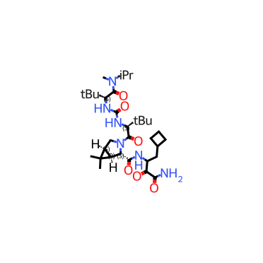 CC(C)N(C)C(=O)[C@@H](NC(=O)N[C@H](C(=O)N1C[C@H]2[C@@H]([C@H]1C(=O)NC(CC1CCC1)C(=O)C(N)=O)C2(C)C)C(C)(C)C)C(C)(C)C